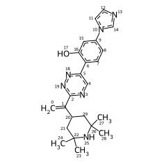 C=C(c1ncc(-c2ccc(-n3ccnc3)cc2O)nn1)C1CC(C)(C)NC(C)(C)C1